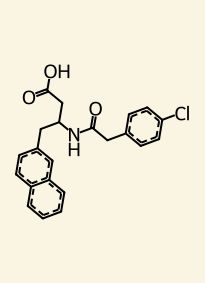 O=C(O)CC(Cc1ccc2ccccc2c1)NC(=O)Cc1ccc(Cl)cc1